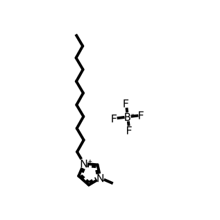 CCCCCCCCCCC[n+]1ccn(C)c1.F[B-](F)(F)F